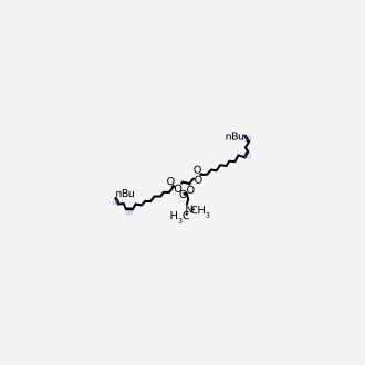 CCCC/C=C\C/C=C\CCCCCCCCC(=O)OCC(COC(=O)CCCCCCCC/C=C\C/C=C\CCCC)OC(=O)CCN(C)C